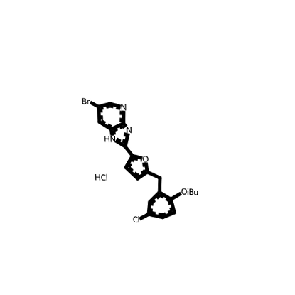 CC(C)COc1ccc(Cl)cc1Cc1ccc(-c2nc3ncc(Br)cc3[nH]2)o1.Cl